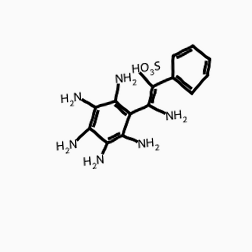 NC(=C(c1ccccc1)S(=O)(=O)O)c1c(N)c(N)c(N)c(N)c1N